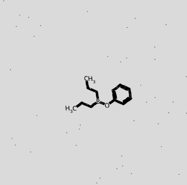 CCCB(CCC)Oc1ccccc1